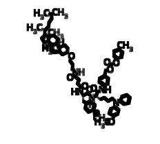 COc1ccc(C[C@H](NC(=O)CCC(=O)NCCCO[C@H]2CC[C@@]3(C)C(=CC[C@H]4[C@@H]5CC[C@H]([C@H](C)CCCC(C)C)[C@@]5(C)CC[C@@H]43)C2)C(=O)N[C@@H](CCCCN(c2ccccc2)c2ccc(OC)cc2)C(=O)Nc2ccc(COC(=O)Oc3ccc(C)cc3)cc2)cc1